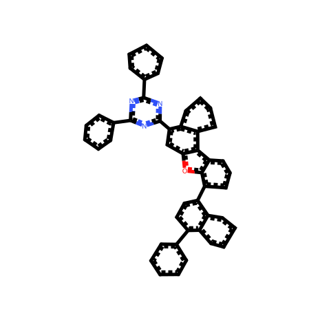 c1ccc(-c2nc(-c3ccccc3)nc(-c3cc4oc5c(-c6ccc(-c7ccccc7)c7ccccc67)cccc5c4c4ccccc34)n2)cc1